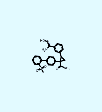 CS(=O)(=O)c1ccccc1-c1ccc(C2(C(N)=O)CC2c2cccc(/C(N)=N/O)c2)cc1